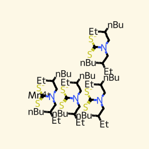 CCCCC(CC)CN(CC(CC)CCCC)C(=S)[S-].CCCCC(CC)CN(CC(CC)CCCC)C(=S)[S-].CCCCC(CC)CN(CC(CC)CCCC)C(=S)[S-].CCCCC(CC)CN(CC(CC)CCCC)C(=S)[S-].[Mn+4]